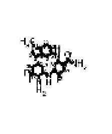 Cn1ccc2cc(Nc3nc(NC4CCCC(F)(F)C4N)c(F)cc3C(N)=O)ccc21